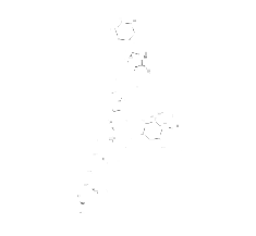 Cc1cc(C[C@@H](OC(=O)N2CCC(n3nc(-c4ccccc4)[nH]c3=O)CC2)C(=O)N2CCN(C3CCN(CC(=O)O)CC3)CC2)cc(C)c1O